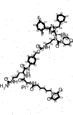 CC(C)[C@H](NC(=O)CCCCCN1C(=O)C=CC1=O)C(=O)N[C@@H](CCCNC(N)=O)C(=O)Nc1ccc(COC(=O)NCCCN(C(=O)N2CCOCC2)[C@@H](c2nc(-c3cc(F)ccc3F)nn2Cc2ccccc2)C(C)(C)C)cc1